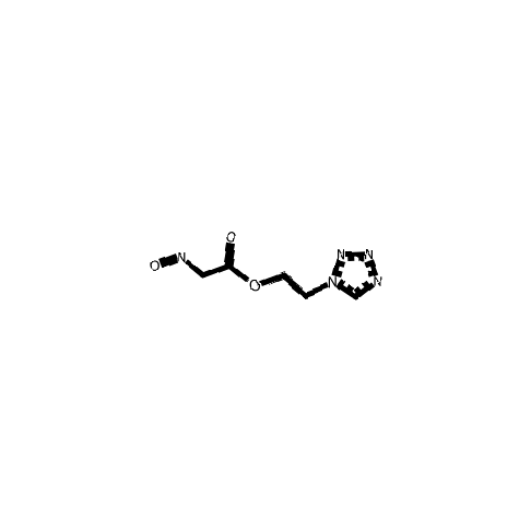 O=NCC(=O)OCCn1cnnn1